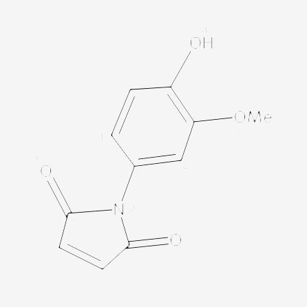 COc1cc(N2C(=O)C=CC2=O)ccc1O